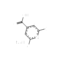 O=C(O)c1cc(Cl)nc(Cl)c1.[NaH]